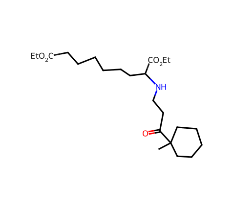 CCOC(=O)CCCCCCC(NCCC(=O)C1(C)CCCCC1)C(=O)OCC